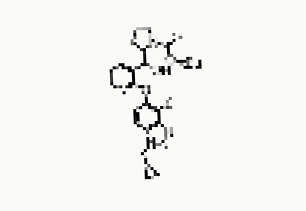 CC(C)(C)OC(=O)N1CCCC1C(O)c1cccnc1Oc1ccc2c(nnn2CC2CC2)c1Cl